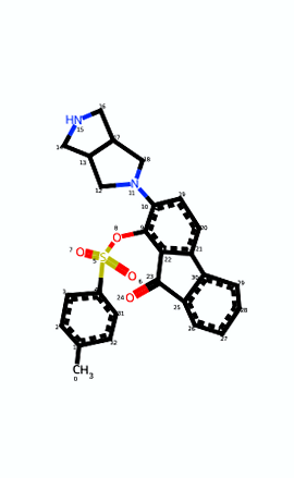 Cc1ccc(S(=O)(=O)Oc2c(N3CC4CNCC4C3)ccc3c2C(=O)c2ccccc2-3)cc1